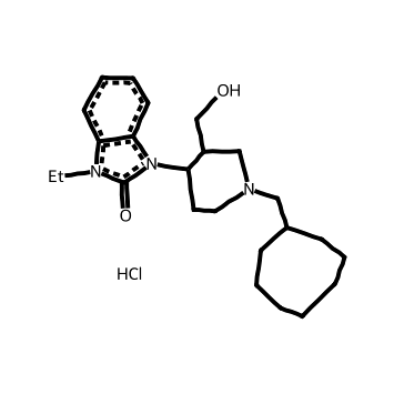 CCn1c(=O)n(C2CCN(CC3CCCCCCC3)CC2CO)c2ccccc21.Cl